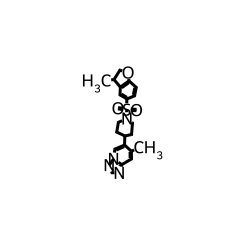 Cc1cc2ncnn2cc1C1CCN(S(=O)(=O)c2ccc3c(c2)C(C)CO3)CC1